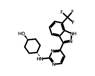 O[C@H]1CC[C@H](Nc2nccc(-c3n[nH]c4c(C(F)(F)F)cccc34)n2)CC1